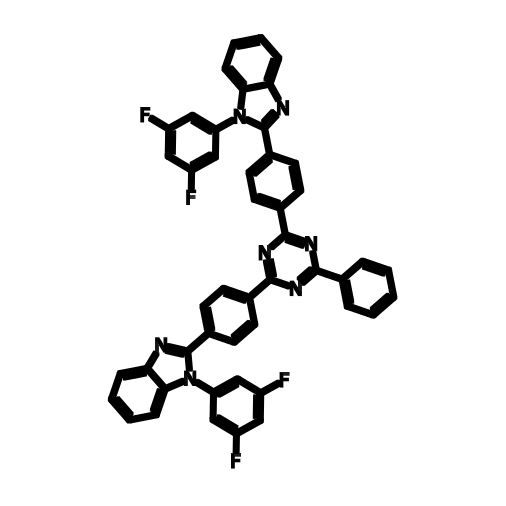 Fc1cc(F)cc(-n2c(-c3ccc(-c4nc(-c5ccccc5)nc(-c5ccc(-c6nc7ccccc7n6-c6cc(F)cc(F)c6)cc5)n4)cc3)nc3ccccc32)c1